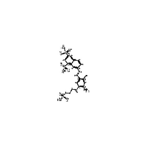 Cc1cc(N)c(OCCCS(=O)(=O)O)cc1N=Nc1ccc2cc(S(=O)(=O)O)cc(S(=O)(=O)O)c2c1